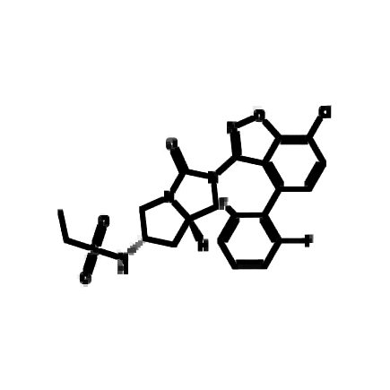 CCS(=O)(=O)N[C@H]1C[C@H]2CN(c3noc4c(Cl)ccc(-c5c(F)cccc5F)c34)C(=O)N2C1